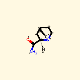 NC(=O)[C@H]1CC2CCN1CC2